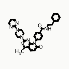 Cc1nc(N2CCN(c3ncccn3)CC2)nc2c1ccc(=O)n2-c1ccc(C(=O)NCCc2ccccc2)cc1